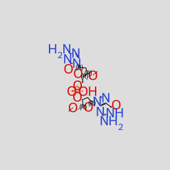 COC[C@H]1O[C@@H](n2cnc3c(=O)[nH]c(N)nc32)CC1OP(=O)(O)OC[C@H]1O[C@@H](n2cnc(N)nc2=O)C[C@H]1OC